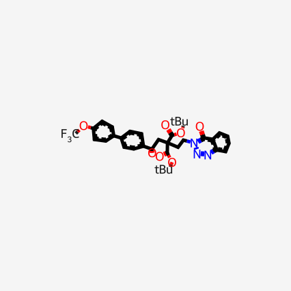 CC(C)(C)OC(=O)C(CCn1nnc2ccccc2c1=O)(CC(=O)c1ccc(-c2ccc(OC(F)(F)F)cc2)cc1)C(=O)OC(C)(C)C